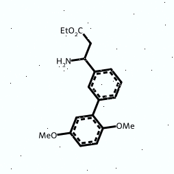 CCOC(=O)CC(N)c1cccc(-c2cc(OC)ccc2OC)c1